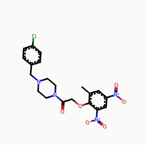 Cc1cc([N+](=O)[O-])cc([N+](=O)[O-])c1OCC(=O)N1CCN(Cc2ccc(Cl)cc2)CC1